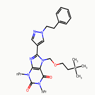 CCCn1c(=O)c2c(nc(-c3cnn(CCc4ccccc4)c3)n2COCC[Si](C)(C)C)n(CCC)c1=O